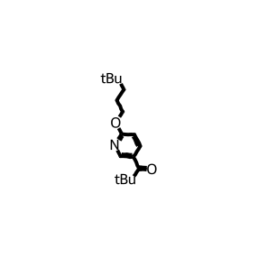 CC(C)(C)CCCOc1ccc(C(=O)C(C)(C)C)cn1